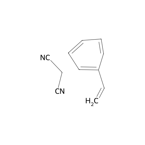 C=Cc1ccccc1.N#CCC#N